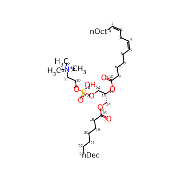 CCCCCCCC/C=C\C/C=C\CCCCC(=O)O[C@H](COC(=O)CCCCCCCCCCCCCCC)COP(=O)(O)OCC[N+](C)(C)C